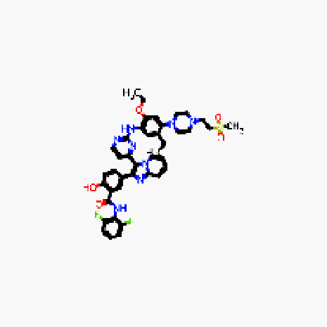 CCOc1cc(N2CCN(CCS(C)(=O)=O)CC2)c(CC)cc1Nc1nccc(-c2c(-c3ccc(O)c(C(=O)Nc4c(F)cccc4F)c3)nc3ccccn23)n1